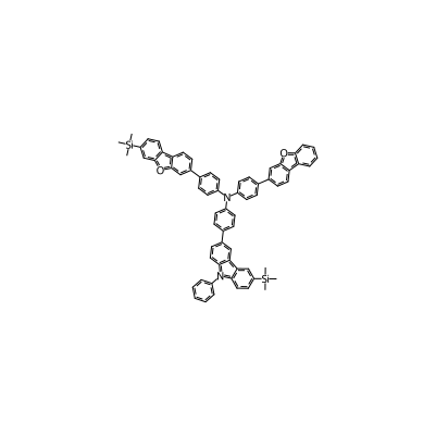 C[Si](C)(C)c1ccc2c(c1)oc1cc(-c3ccc(N(c4ccc(-c5ccc6c(c5)oc5ccccc56)cc4)c4ccc(-c5ccc6c(c5)c5cc([Si](C)(C)C)ccc5n6-c5ccccc5)cc4)cc3)ccc12